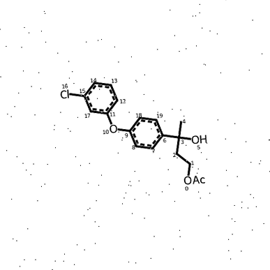 CC(=O)OCCC(C)(O)c1ccc(Oc2cccc(Cl)c2)cc1